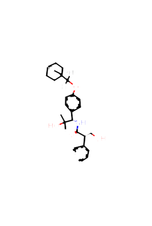 [2H]C([2H])(Oc1ccc([C@@H](NC(=O)[C@@H](CO)c2ccccc2)C(C)(C)O)cc1)C12CCC(CC1)CC2